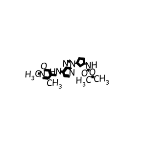 Cc1cn(C)c(=O)cc1CNc1ccnc2c1ncn2[C@H]1CC[C@@H](NC(=O)OC(C)C)C1